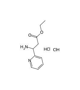 CCOC(=O)CC(N)c1ccccn1.Cl.Cl